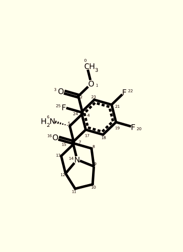 COC(=O)C[C@@H](N)C1CC2CCC(C1)N2C(=O)c1cc(F)c(F)cc1F